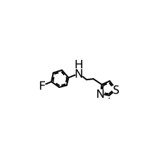 Fc1ccc(NCCc2cs[c]n2)cc1